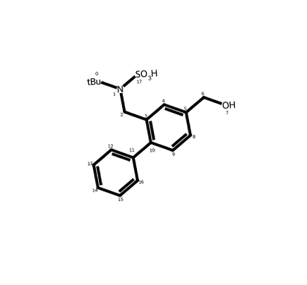 CC(C)(C)N(Cc1cc(CO)ccc1-c1ccccc1)S(=O)(=O)O